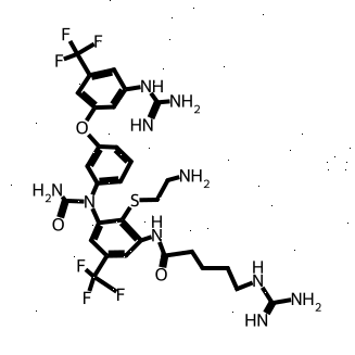 N=C(N)NCCCCC(=O)Nc1cc(C(F)(F)F)cc(N(C(N)=O)c2cccc(Oc3cc(NC(=N)N)cc(C(F)(F)F)c3)c2)c1SCCN